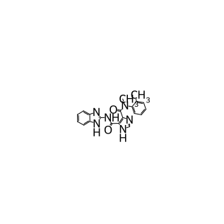 Cc1ccccc1N(C)C(=O)c1nc[nH]c1C(=O)Nc1nc2ccccc2[nH]1